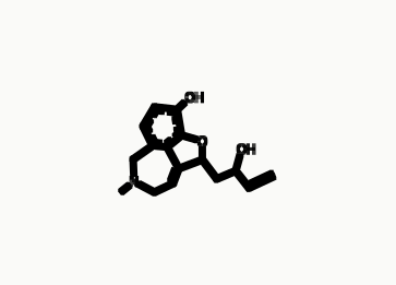 C=CC(O)CC1Oc2c(O)ccc3c2C1=CCN(C)C3